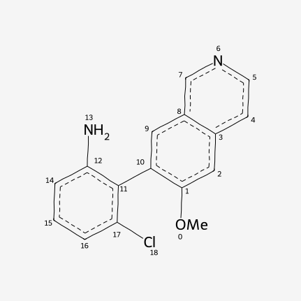 COc1cc2ccncc2cc1-c1c(N)cccc1Cl